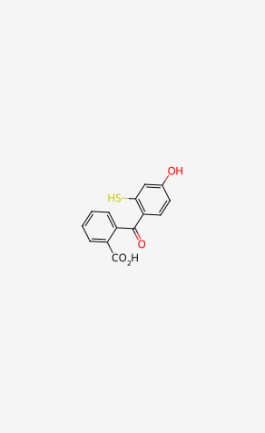 O=C(O)c1ccccc1C(=O)c1ccc(O)cc1S